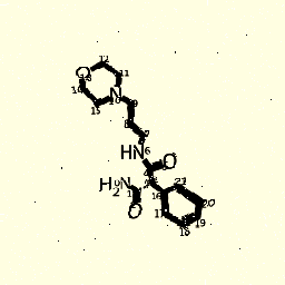 NC(=O)[C@H](C(=O)NCCCN1CCOCC1)c1ccccc1